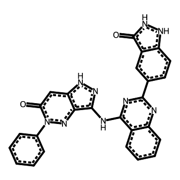 O=c1[nH][nH]c2ccc(-c3nc(Nc4n[nH]c5cc(=O)n(-c6ccccc6)nc45)c4ccccc4n3)cc12